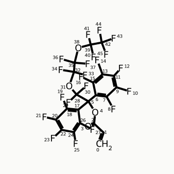 C=CC(=O)OC(c1c(F)c(F)c(F)c(F)c1F)(c1c(F)c(F)c(F)c(F)c1F)C(F)(F)OC(F)(F)C(F)(F)OC(F)(F)C(F)(F)F